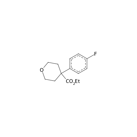 CCOC(=O)C1(c2ccc(F)cc2)CCOCC1